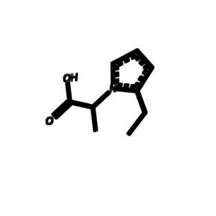 CCc1cccn1C(C)C(=O)O